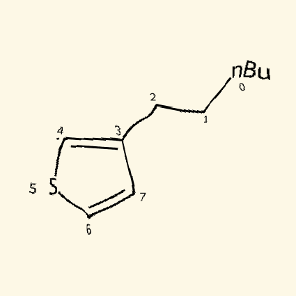 CCCCCCc1[c]scc1